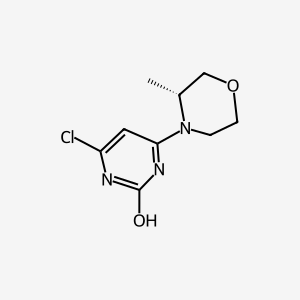 C[C@@H]1COCCN1c1cc(Cl)nc(O)n1